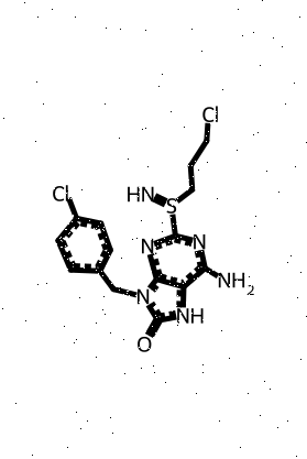 N=S(CCCCl)c1nc(N)c2[nH]c(=O)n(Cc3ccc(Cl)cc3)c2n1